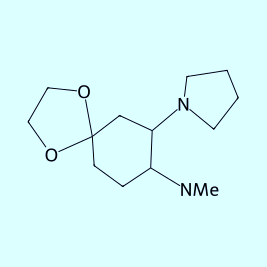 CNC1CCC2(CC1N1CCCC1)OCCO2